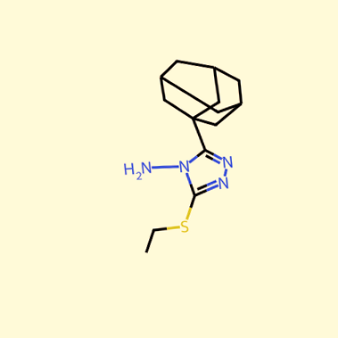 CCSc1nnc(C23CC4CC(CC(C4)C2)C3)n1N